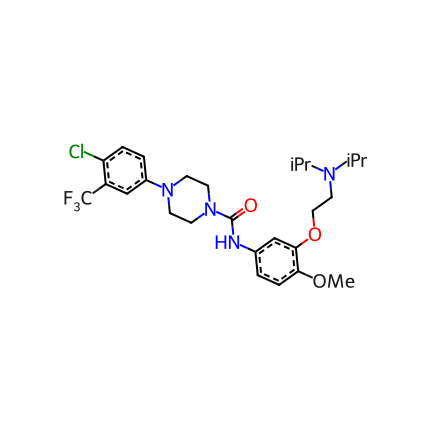 COc1ccc(NC(=O)N2CCN(c3ccc(Cl)c(C(F)(F)F)c3)CC2)cc1OCCN(C(C)C)C(C)C